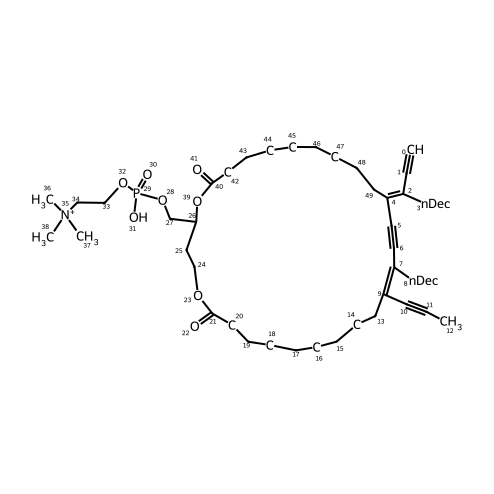 C#C/C(CCCCCCCCCC)=C1/C#C/C(CCCCCCCCCC)=C(/C#CC)CCCCCCCCC(=O)OCCC(COP(=O)(O)OCC[N+](C)(C)C)OC(=O)CCCCCCCC1